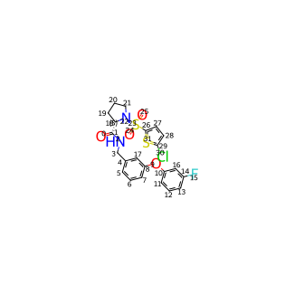 O=C(NCc1cccc(Oc2cccc(F)c2)c1)[C@@H]1CCCN1S(=O)(=O)c1ccc(Cl)s1